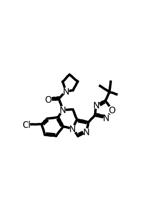 CC(C)(C)c1nc(-c2ncn3c2CN(C(=O)N2CCCC2)c2cc(Cl)ccc2-3)no1